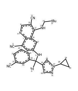 [2H]C(Nc1cc(C#N)c2ncc(C#N)c(NCC(C)(C)C)c2c1)(c1cccc(C#N)c1)c1cn(C2CC2)nn1